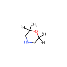 [2H]C1([2H])CNCC([2H])(C)O1